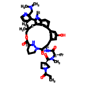 C=CC(=O)N1CC[C@H](C(=O)N(C)[C@H](C(=O)N[C@H]2Cc3cc(O)cc(c3)-c3ccc4c(c3)c(c(-c3cccnc3CN(C)C)n4CC)CC(C)(C)COC(=O)[C@@H]3CCCN(N3)C2=O)C(C)C)C1